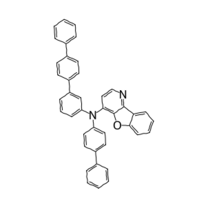 c1ccc(-c2ccc(-c3cccc(N(c4ccc(-c5ccccc5)cc4)c4ccnc5c4oc4ccccc45)c3)cc2)cc1